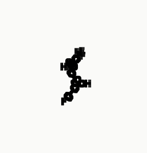 O=C(O)c1ccc(-c2ccc(F)cc2)cc1/C=C/c1ccc(NS(=O)(=O)c2ccc(C(F)(F)F)cc2)cc1